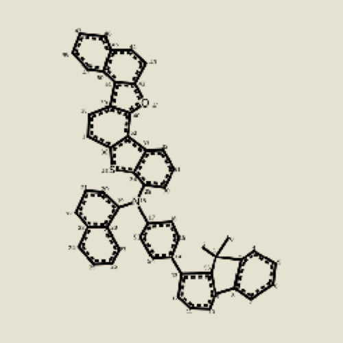 CC1(C)c2ccccc2-c2cccc(-c3ccc(N(c4cccc5ccccc45)c4cccc5c4sc4ccc6c(oc7ccc8ccccc8c76)c45)cc3)c21